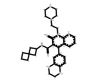 O=C(NC1CC2(CCC2)C1)c1c(-c2ccc3c(c2)OCCO3)c2cccnc2n(CCN2CCOCC2)c1=O